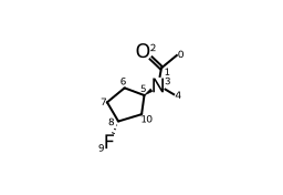 CC(=O)N(C)[C@@H]1CC[C@@H](F)C1